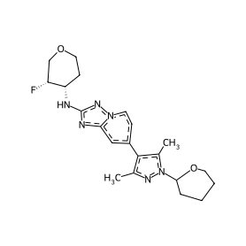 Cc1nn(C2CCCCO2)c(C)c1-c1ccn2nc(N[C@H]3CCOC[C@H]3F)nc2c1